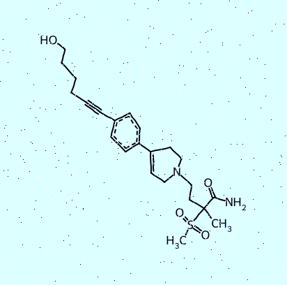 CC(CCN1CC=C(c2ccc(C#CCCCCO)cc2)CC1)(C(N)=O)S(C)(=O)=O